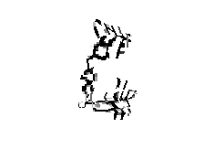 O=C1CO[C@H]2CCN(C(=O)N3CC4(CC(Cc5ccc6c(C(F)(F)F)noc6c5)C4)C3)C[C@H]2N1